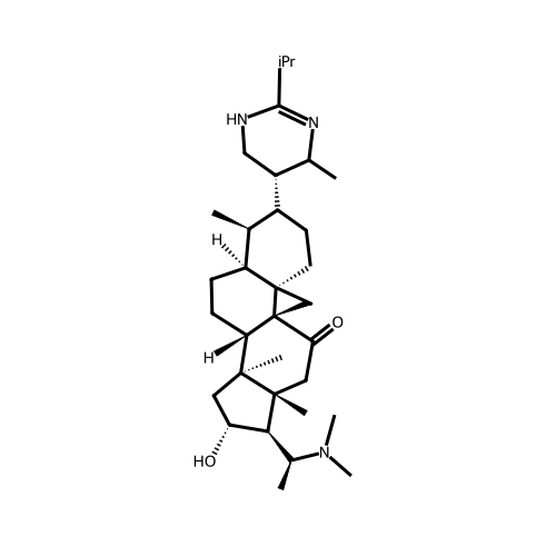 CC(C)C1=NC(C)[C@H](C2CC[C@]34C[C@]35C(=O)C[C@]3(C)[C@@H]([C@H](C)N(C)C)[C@H](O)C[C@@]3(C)[C@@H]5CC[C@H]4[C@H]2C)CN1